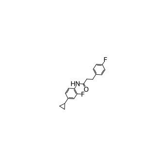 O=C(CCc1ccc(F)cc1)Nc1ccc(C2CC2)cc1F